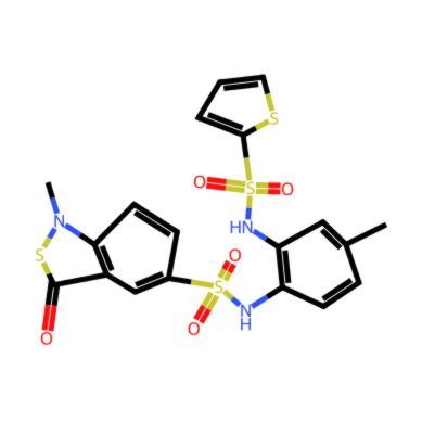 Cc1ccc(NS(=O)(=O)c2ccc3c(c2)c(=O)sn3C)c(NS(=O)(=O)c2cccs2)c1